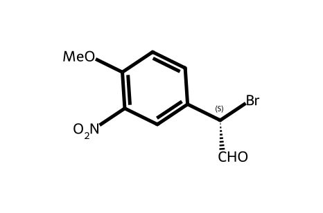 COc1ccc([C@H](Br)C=O)cc1[N+](=O)[O-]